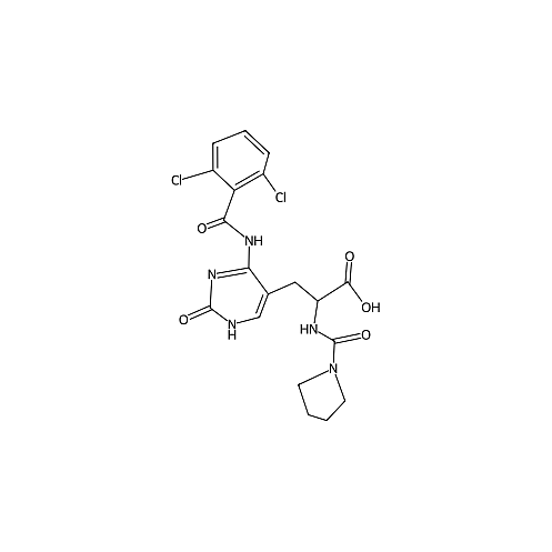 O=C(Nc1nc(=O)[nH]cc1CC(NC(=O)N1CCCC1)C(=O)O)c1c(Cl)cccc1Cl